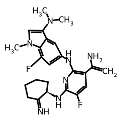 C=C(N)c1cc(F)c(N[C@@H]2CCCCC2=N)nc1Nc1cc(F)c2c(c1)c(N(C)C)cn2C